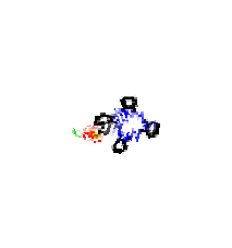 O=[S](=O)(OCl)[AlH][c]1cccc2c3nc4nc(nc5[nH]c(nc6nc(nc([nH]3)c12)-c1ccccc1-6)c1ccccc51)-c1ccccc1-4